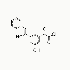 O=C(O)C(Cl)c1cc(O)cc(C(O)=Cc2ccccc2)c1